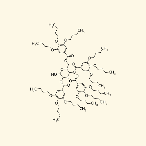 CCCCOc1cc(C(=O)OCC2OC(O)[C@H](OC(=O)c3cc(OCCCC)c(OCCCC)c(OCCCC)c3)[C@@H](OC(=O)c3cc(OCCCC)c(OCCCC)c(OCCCC)c3)C2OC(=O)c2cc(OCCCC)c(OCCCC)c(OCCCC)c2)cc(OCCCC)c1OCCCC